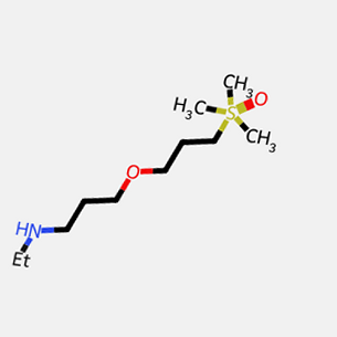 CCNCCCOCCCS(C)(C)(C)=O